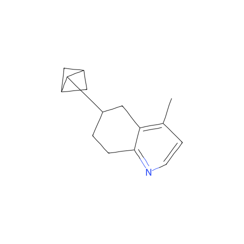 Cc1ccnc2c1CC(C1C3CC1C3)CC2